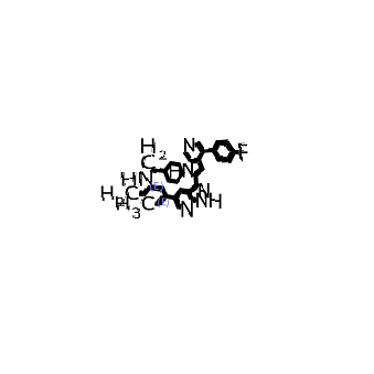 C=C/C(=C\C(=C/C)c1cnc2[nH]nc(-c3cc4c(-c5ccc(F)cc5)cncc4[nH]3)c2c1)NC(=C)C1CCCCC1